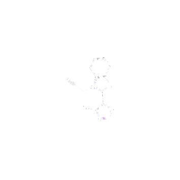 C#CCn1c(-c2nonc2N)nc2ccccc21